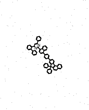 c1ccc(-c2cc(-c3ccccc3-c3ccccc3)nc(-c3ccc(-c4ccc(-c5ccc6c(c5)C(c5ccccc5)(c5ccccc5)c5ccc7ccccc7c5-6)cc4)c4ccccc34)n2)cc1